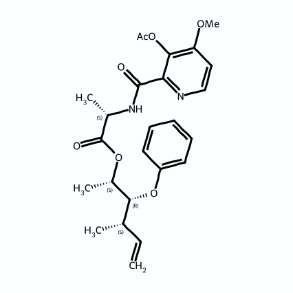 C=C[C@H](C)[C@@H](Oc1ccccc1)[C@H](C)OC(=O)[C@H](C)NC(=O)c1nccc(OC)c1OC(C)=O